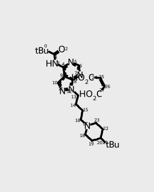 CC(C)(C)C(=O)Nc1ncnc2c1cnn2CCCCN1CCC(C(C)(C)C)CC1.O=C(O)/C=C\C(=O)O